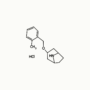 Cc1ccccc1COC1CC2CCC(C1)N2.Cl